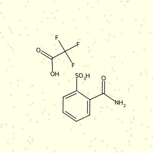 NC(=O)c1ccccc1S(=O)(=O)O.O=C(O)C(F)(F)F